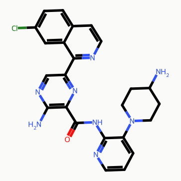 Nc1ncc(-c2nccc3ccc(Cl)cc23)nc1C(=O)Nc1ncccc1N1CCC(N)CC1